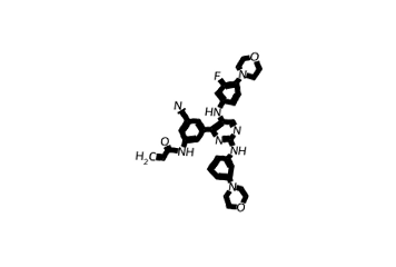 C=CC(=O)Nc1cc(C#N)cc(-c2nc(Nc3cccc(N4CCOCC4)c3)ncc2Nc2ccc(N3CCOCC3)c(F)c2)c1